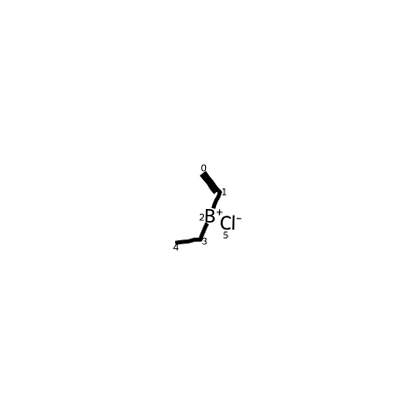 C=C[B+]CC.[Cl-]